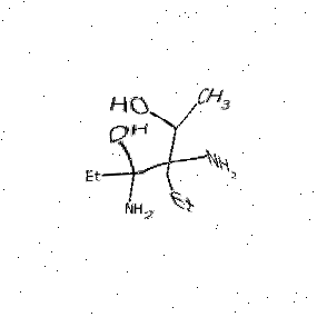 CCC(N)(O)C(N)(CC)C(C)O